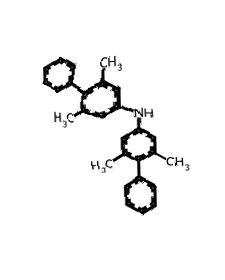 Cc1cc(Nc2cc(C)c(-c3ccccc3)c(C)c2)cc(C)c1-c1ccccc1